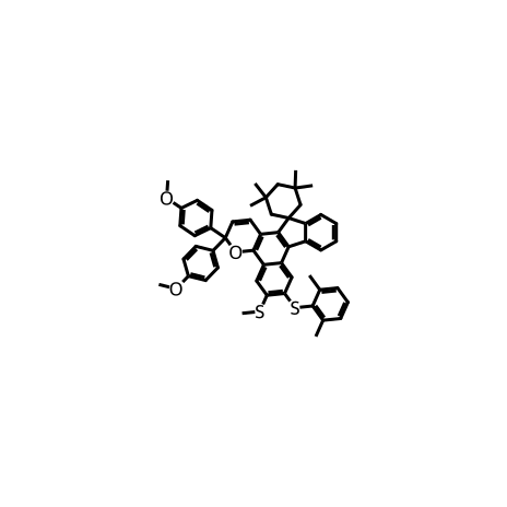 COc1ccc(C2(c3ccc(OC)cc3)C=Cc3c4c(c5cc(Sc6c(C)cccc6C)c(SC)cc5c3O2)-c2ccccc2C42CC(C)(C)CC(C)(C)C2)cc1